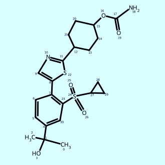 CC(C)(O)c1ccc(-c2cnc(C3CCC(OC(N)=O)CC3)s2)c(S(=O)(=O)C2CC2)c1